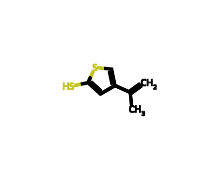 C=C(C)c1csc(S)c1